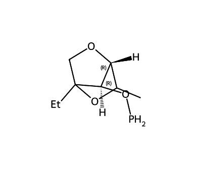 CCC12CO[C@H](C(C)O1)[C@H]2OP